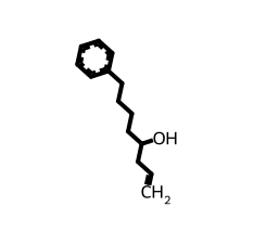 C=CCC(O)CCCCc1ccccc1